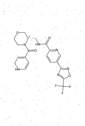 O=C(NC[C@H]1COCCN1C(=O)C1=CCNC=C1)c1ccc(-c2noc(C(F)(F)F)n2)cn1